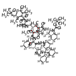 CCCN(CCC)C(=O)[C@@H](Cc1cn(C(=O)OC(C)(C)C)c2ccccc12)NC(=O)[C@H](CCCNC(=N)NS(=O)(=O)c1c(C)c(C)c2c(c1C)CC(C)(C)O2)NC(=O)[C@@H](Cc1ccccc1)NC(=O)[C@@H](N)Cc1cn(C(c2ccccc2)(c2ccccc2)c2ccccc2)cn1